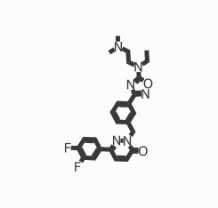 CCN(CCN(C)C)c1nc(-c2cccc(Cn3nc(-c4ccc(F)c(F)c4)ccc3=O)c2)no1